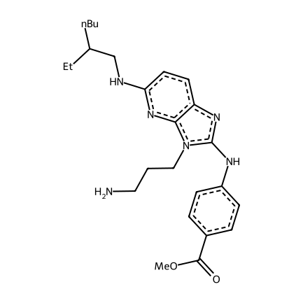 CCCCC(CC)CNc1ccc2nc(Nc3ccc(C(=O)OC)cc3)n(CCCN)c2n1